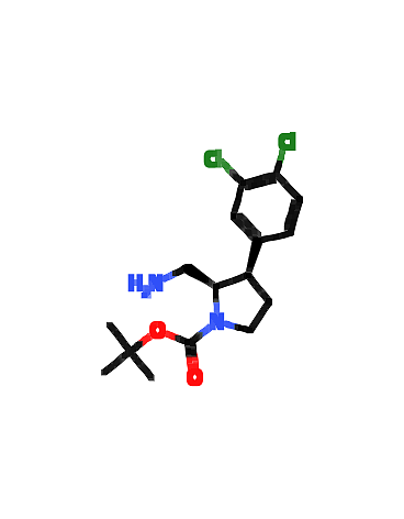 CC(C)(C)OC(=O)N1CC[C@H](c2ccc(Cl)c(Cl)c2)[C@@H]1CN